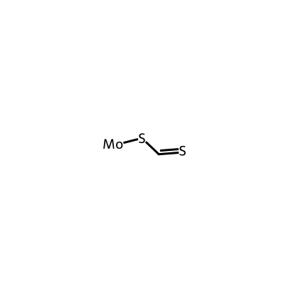 S=C[S][Mo]